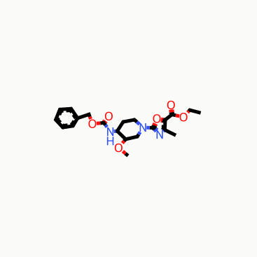 CCOC(=O)c1oc(N2CCC(NC(=O)OCc3ccccc3)C(OC)C2)nc1C